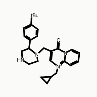 CC(C)(C)c1ccc(C2CNCCN2Cc2c[n+](CC3CC3)c3ccccn3c2=O)cc1